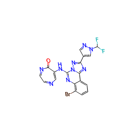 O=c1nccncc1Nc1nc2c(Br)cccc2c2nc(-c3cnn(C(F)F)c3)nn12